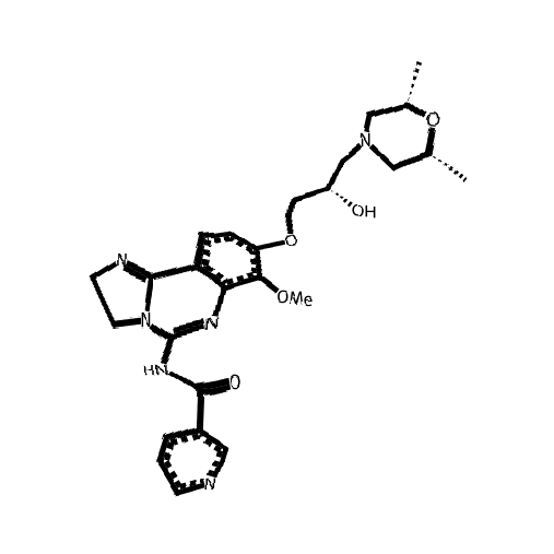 COc1c(OC[C@@H](O)CN2C[C@@H](C)O[C@@H](C)C2)ccc2c1N=C(NC(=O)c1cccnc1)N1CCN=C21